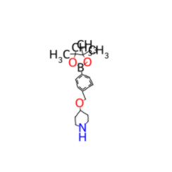 CC1(C)OB(c2ccc(COC3CCNCC3)cc2)OC1(C)C